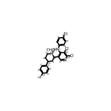 CCc1ccc(Nc2c(C3CC(c4ccc(F)cc4)CCN3C=O)cnc(Cl)c2Cl)cc1